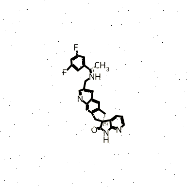 C[C@H](NCc1cnc2cc3c(cc2c1)C[C@@]1(C3)C(=O)Nc2ncccc21)c1cc(F)cc(F)c1